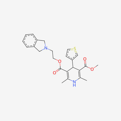 COC(=O)C1=C(C)NC(C)=C(C(=O)OCCN2Cc3ccccc3C2)C1c1ccsc1